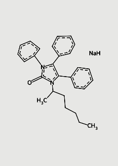 CCCCCC(C)n1c(-c2ccccc2)c(-c2ccccc2)n(-c2ccccc2)c1=O.[NaH]